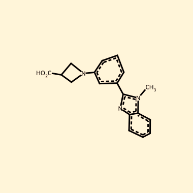 Cn1c(-c2cccc(N3CC(C(=O)O)C3)c2)nc2ccccc21